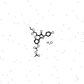 CCOC(=O)Cc1oc2ccc(OC(=O)COC(C)=O)cc2c2nn(-c3ccc(Cl)cc3)c(=O)c1-2.O